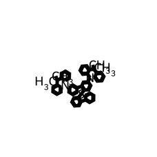 CC1(C)c2ccccc2N(c2ccc3c(c2)-c2cc(N4c5ccccc5C(C)(C)c5ccccc54)ccc2S32(=O)c3ccccc3-c3ccccc32)c2ccccc21